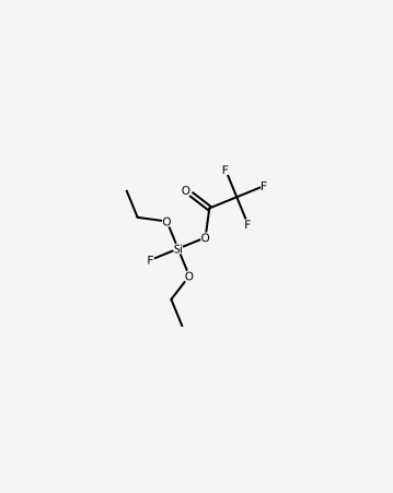 CCO[Si](F)(OCC)OC(=O)C(F)(F)F